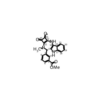 COC(=O)c1cccc(CN(C)c2c(Nc3c[nH]c4ccccc34)c(=O)c2=O)c1